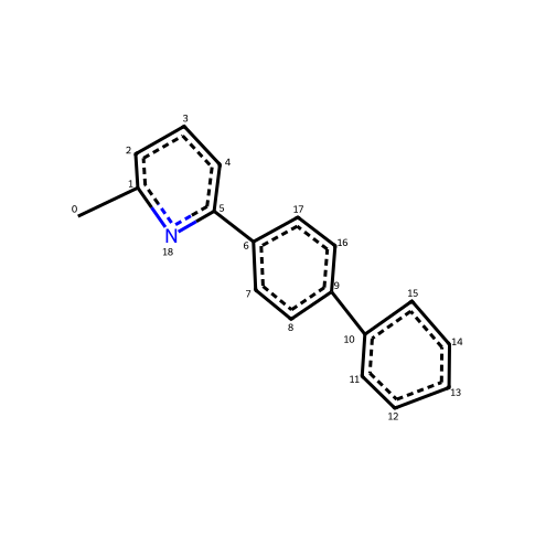 Cc1cccc(-c2ccc(-c3ccccc3)cc2)n1